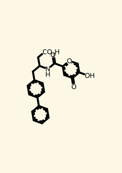 O=C(O)CC(Cc1ccc(-c2ccccc2)cc1)NC(=O)c1cc(=O)c(O)co1